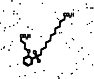 O=C(O)CCCCCCCCCCCS(=O)(=O)c1ccccc1OCCCC(=O)O